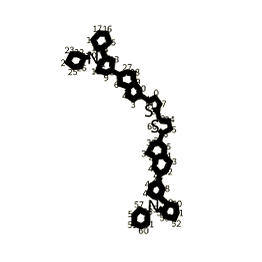 C1=C(c2ccc3cc(-c4ccc5c(c4)c4ccccc4n5-c4ccccc4)ccc3c2)SC(C2=CCC(c3ccc4cc(-c5ccc6c(c5)c5ccccc5n6-c5ccccc5)ccc4c3)S2)C1